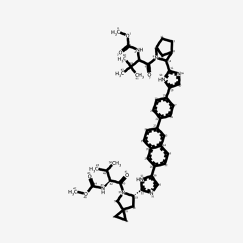 COC(=O)NC(C(=O)N1C2CCC(C2)C1c1ncc(-c2ccc(-c3ccc4cc(-c5cnc([C@@H]6CC7(CC7)CN6C(=O)[C@@H](NC(=O)OC)C(C)C)[nH]5)ccc4c3)cc2)[nH]1)C(C)(C)C